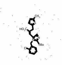 CCCCc1ncc(C=C(Cc2ccc(C)s2)C(=O)O)n1Cc1ccccc1Cl